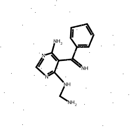 N=C(c1ccccc1)c1c(N)ncnc1NCN